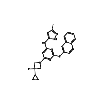 Cc1cc(Nc2cc(N3CC(F)(C4CC4)C3)nc(Sc3cnc4ccccc4c3)n2)[nH]n1